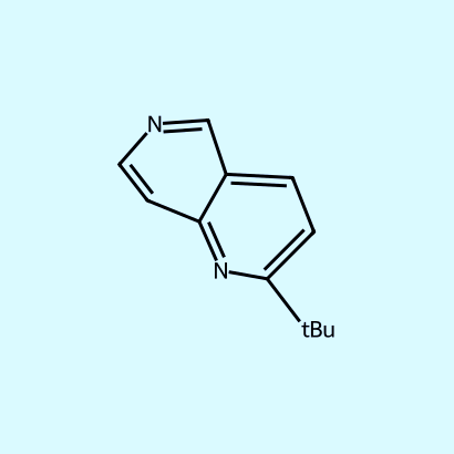 CC(C)(C)c1ccc2cnccc2n1